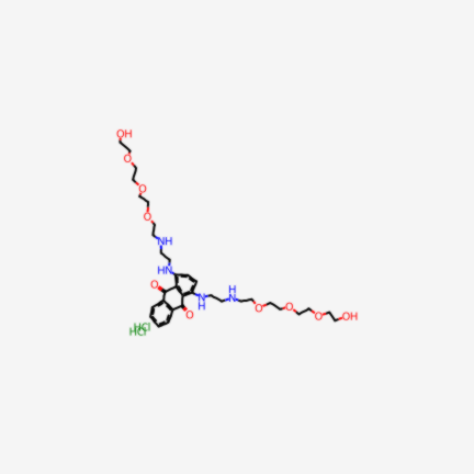 Cl.Cl.O=C1c2ccccc2C(=O)c2c(NCCNCCOCCOCCOCCO)ccc(NCCNCCOCCOCCOCCO)c21